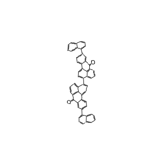 O=C1c2cc(-c3cccc4ccccc34)ccc2-c2ccc(-c3ccc4c5c(cccc35)C(=O)c3cc(-c5cccc6ccccc56)ccc3-4)c3cccc1c23